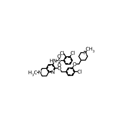 CN1CCC(COc2cc(COc3nc4c(cc3NS(=O)(=O)c3cccc(Cl)c3Cl)CN(C)CC4)ccc2Cl)CC1